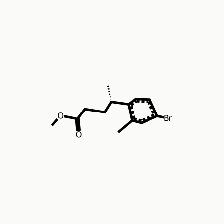 COC(=O)CC[C@H](C)c1ccc(Br)cc1C